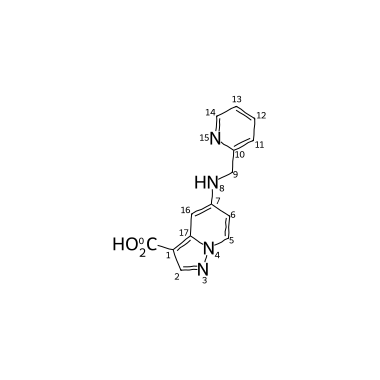 O=C(O)c1cnn2ccc(NCc3ccccn3)cc12